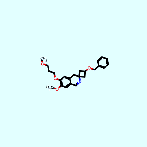 COCCCOc1cc2c(cc1OC)C=NC1(C2)CC(OCc2ccccc2)C1